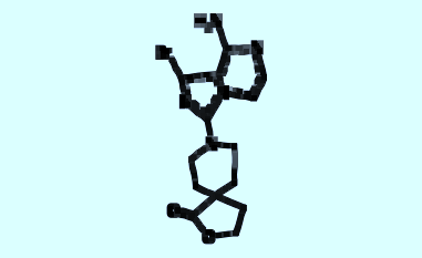 Nc1nccn2c(N3CCC4(CCOC4=O)CC3)nc(Br)c12